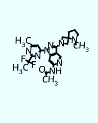 CC(=O)Nc1cc2c(cn1)c(N1CC3(CCCN3C)C1)nn2-c1cc(C)nc(C(C)(F)F)n1